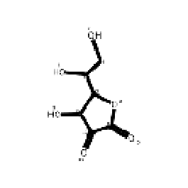 O=C1OC(C(O)CO)C(O)C1=O